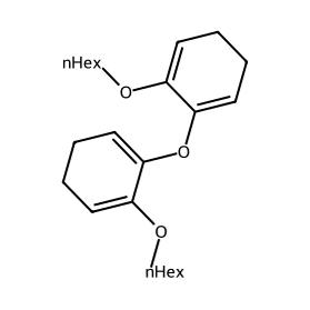 CCCCCCOC1=CCCC=C1OC1=CCCC=C1OCCCCCC